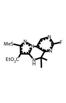 CCOC(=O)c1c(SC)nn2c1NC(C)(C)c1nc(F)ncc1-2